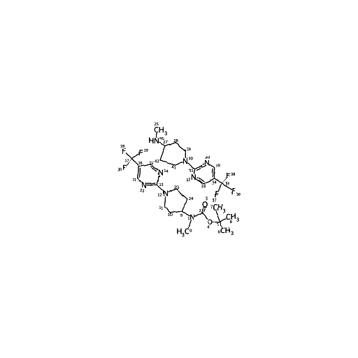 CN(C(=O)OC(C)(C)C)C1CCN(c2ncc(C(F)(F)F)cn2)CC1.CNC1CCN(c2ncc(C(F)(F)F)cn2)CC1